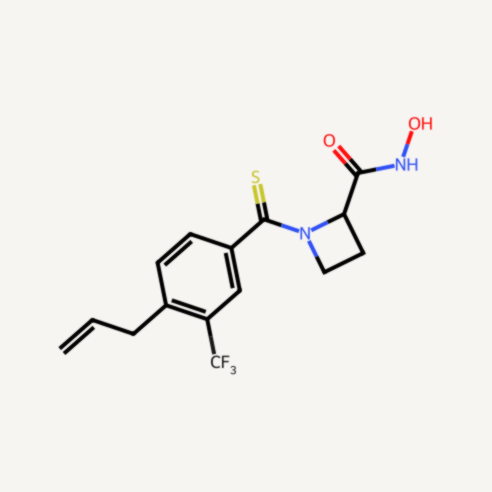 C=CCc1ccc(C(=S)N2CCC2C(=O)NO)cc1C(F)(F)F